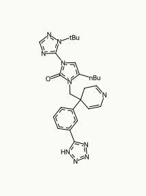 CCCCc1cn(-c2ncnn2C(C)(C)C)c(=O)n1CC1(c2cccc(-c3nnn[nH]3)c2)C=CN=CC1